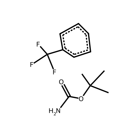 CC(C)(C)OC(N)=O.FC(F)(F)c1ccccc1